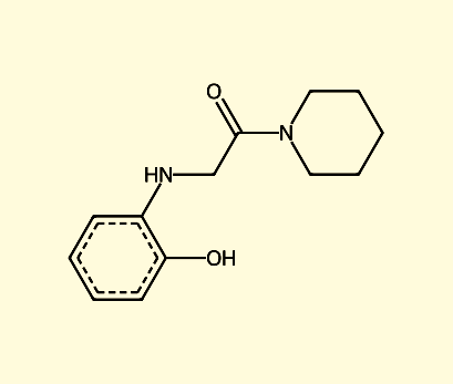 O=C(CNc1ccccc1O)N1CCCCC1